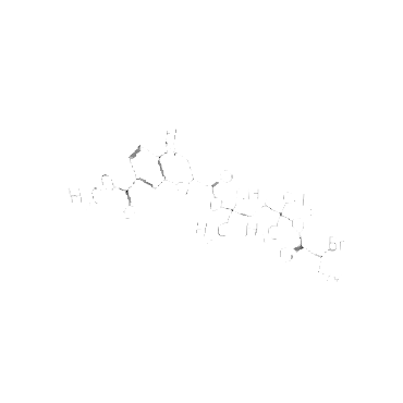 COC(=O)c1ccc2c(c1)OC(C(=O)OC(C)(C)CCC(C)(C)OC(=O)C(Br)CBr)CN2